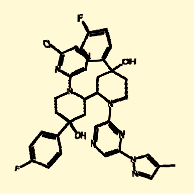 Cc1cnn(-c2cncc(N3CCC(O)(c4ccc(F)cc4)CC3C3CC(O)(c4ccc(F)cc4)CCN3c3cncc(Cl)n3)n2)c1